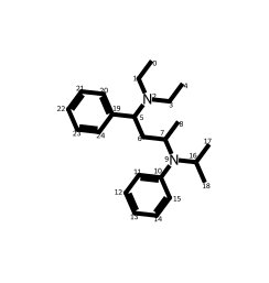 CCN(CC)C(CC(C)N(c1ccccc1)C(C)C)c1ccccc1